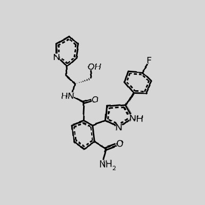 NC(=O)c1cccc(C(=O)N[C@@H](CO)Cc2ccccn2)c1-c1cc(-c2ccc(F)cc2)[nH]n1